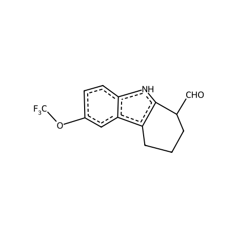 O=CC1CCCc2c1[nH]c1ccc(OC(F)(F)F)cc21